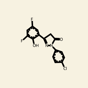 O=C1CC(c2cc(F)cc(F)c2O)=NN1c1ccc(Cl)cc1